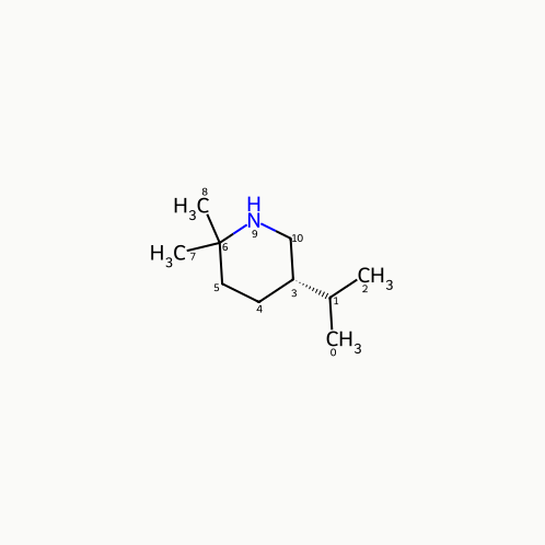 CC(C)[C@@H]1CCC(C)(C)NC1